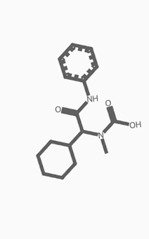 CN(C(=O)O)C(C(=O)Nc1ccccc1)C1CCCCC1